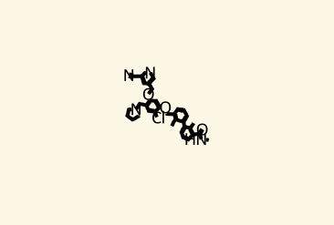 CNC(=O)c1cccc(-c2cccc(COc3cc(OCc4cncc(C#N)c4)c(CN4CCCC4)cc3Cl)c2C)c1C